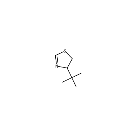 CC(C)(C)[C]1CSC=N1